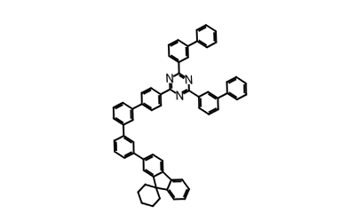 c1ccc(-c2cccc(-c3nc(-c4ccc(-c5cccc(-c6cccc(-c7ccc8c(c7)C7(CCCCC7)c7ccccc7-8)c6)c5)cc4)nc(-c4cccc(-c5ccccc5)c4)n3)c2)cc1